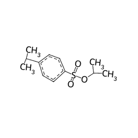 CC(C)OS(=O)(=O)c1ccc(C(C)C)cc1